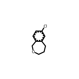 Clc1ccc2c(c1)CCCOC2